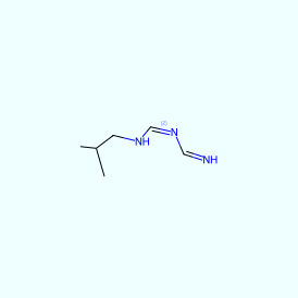 CC(C)CN/C=N\C=N